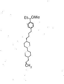 C=CC[C@H]1CC[C@H]([C@H]2CC[C@H](CCCCc3ccc(C(CC)OC)cc3)CC2)CC1